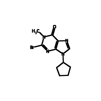 Cn1c(Br)nc2c(ncn2C2CCCC2)c1=O